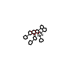 c1ccc(-c2cccc(N(c3ccc(-c4cccc5cccc(-c6nc(-c7ccccc7)nc(-c7ccccc7)n6)c45)cc3)c3cccc(-c4ccccc4)c3)c2)cc1